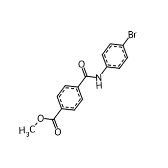 COC(=O)c1ccc(C(=O)Nc2ccc(Br)cc2)cc1